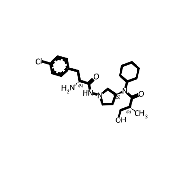 C[C@H](CO)C(=O)N(C1CCCCC1)[C@H]1CCN(NC(=O)[C@H](N)Cc2ccc(Cl)cc2)C1